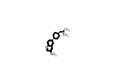 CN(C)C[C@H]1CC[C@H](c2ccc3ncc([N+](=O)[O-])cc3c2)CC1